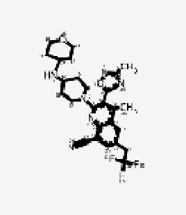 Cc1noc(-c2c(N3CCC(NC4CCOCC4)CC3)nc3c(C#N)cc(CC(F)(F)F)cc3c2C)n1